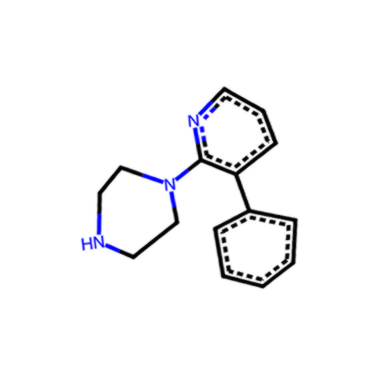 c1ccc(-c2cccnc2N2CCNCC2)cc1